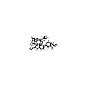 Cn1c(=O)oc2ccc(-c3ccc(C[C@@H](C#N)NC(=O)C4(CNC(=O)OC(C)(C)C)CCC4)cc3)cc21